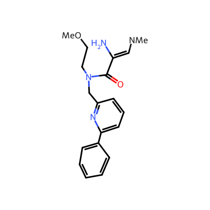 CN/C=C(\N)C(=O)N(CCOC)Cc1cccc(-c2ccccc2)n1